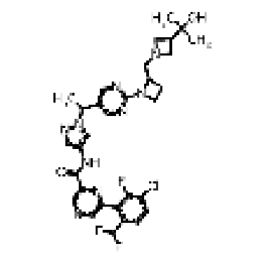 CC(c1cnc(N2CCC2CN2CC(C(C)(C)O)C2)nc1)n1cc(NC(=O)c2cncc(-c3c(C(F)F)ccc(Cl)c3F)n2)cn1